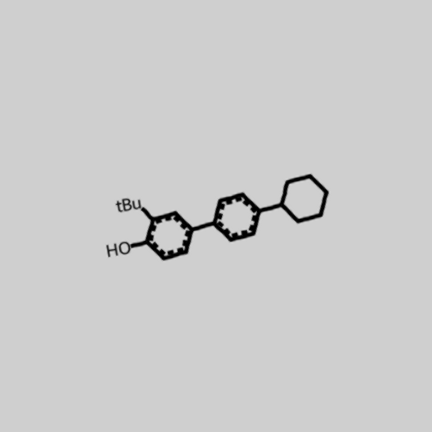 CC(C)(C)c1cc(-c2ccc(C3CCCCC3)cc2)ccc1O